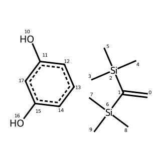 C=C([Si](C)(C)C)[Si](C)(C)C.Oc1cccc(O)c1